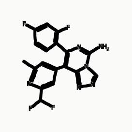 Cc1cc(-c2c(-c3ccc(F)cc3F)nc(N)n3cnnc23)cc(C(F)F)n1